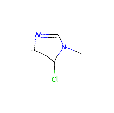 CN1C=N[CH]C1Cl